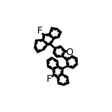 Fc1c2ccccc2c(-c2ccc3c(c2)oc2cccc(-c4c5ccccc5c(F)c5ccccc45)c23)c2ccccc12